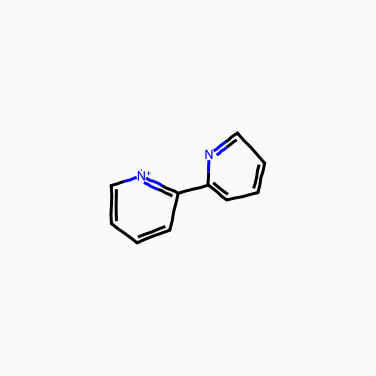 C1=C[N+]=C(c2ccccn2)C=C1